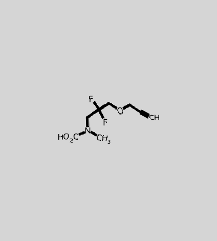 C#CCOCC(F)(F)CN(C)C(=O)O